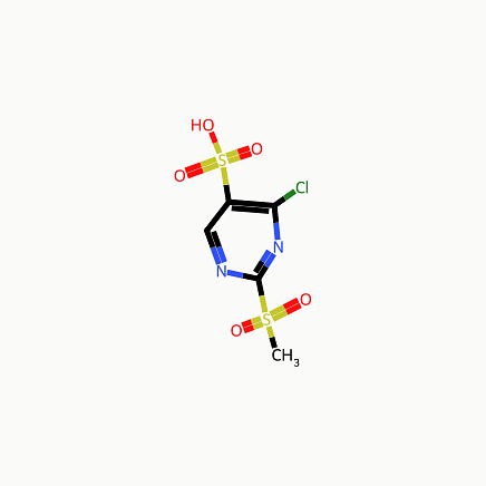 CS(=O)(=O)c1ncc(S(=O)(=O)O)c(Cl)n1